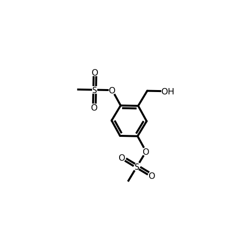 CS(=O)(=O)Oc1ccc(OS(C)(=O)=O)c(CO)c1